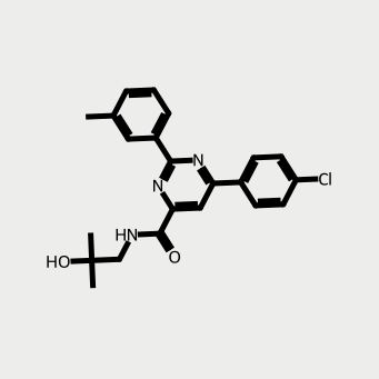 Cc1cccc(-c2nc(C(=O)NCC(C)(C)O)cc(-c3ccc(Cl)cc3)n2)c1